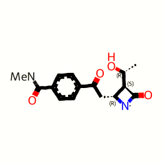 CNC(=O)c1ccc(C(=O)C[C@H]2[N]C(=O)[C@@H]2[C@@H](C)O)cc1